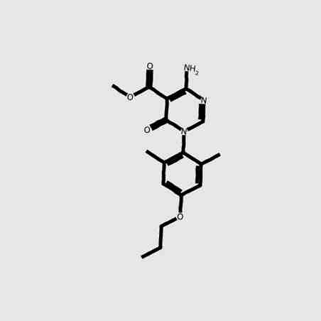 CCCOc1cc(C)c(-n2cnc(N)c(C(=O)OC)c2=O)c(C)c1